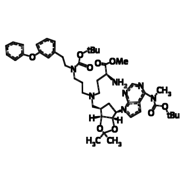 COC(=O)[C@@H](N)CCN(CCCN(CCc1cccc(Oc2ccccc2)c1)C(=O)OC(C)(C)C)C[C@H]1C[C@@H](n2ccc3c(N(C)C(=O)OC(C)(C)C)ncnc32)[C@@H]2OC(C)(C)O[C@H]12